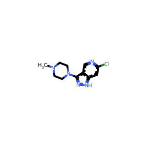 CN1CCN(c2n[nH]c3cc(Cl)ncc23)CC1